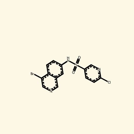 O=S(=O)(Nc1ccc2c(Br)cncc2c1)c1ccc(Cl)nc1